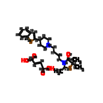 CC1SC(C)(C)C(=O)N1CCCCN1CCC(c2cc3ccccc3s2)CC1.O=C(O)C=CC(=O)O